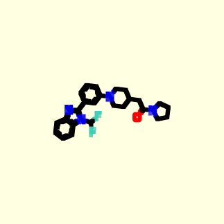 O=C(CC1CCN(c2cccc(-c3nc4ccccc4n3C(F)F)c2)CC1)N1CCCC1